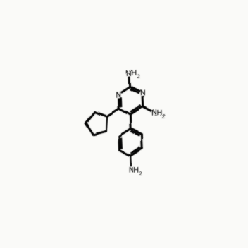 Nc1ccc(-c2c(N)nc(N)nc2C2CCCC2)cc1